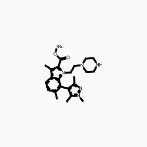 Cc1ccc2c(C)c(C(=O)OC(C)(C)C)n(CCN3CCNCC3)c2c1-c1c(C)nn(C)c1C